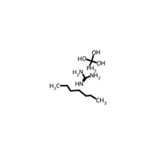 CCCCCCC.N=C(N)N.OC(O)(O)P